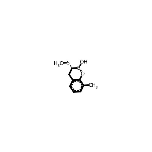 CS[C@H]1Cc2cccc(C)c2OB1O